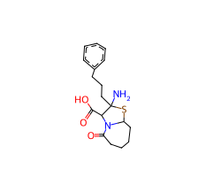 NC1(CCCc2ccccc2)SC2CCCCC(=O)N2C1C(=O)O